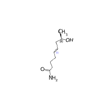 C[C@@H](O)C/C=C/CCCC(N)=O